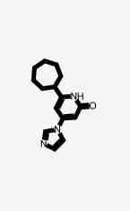 O=c1cc(-n2ccnc2)cc(C2CCCCCC2)[nH]1